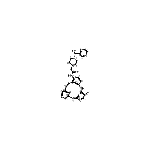 O=C(CC1CCN(C(=O)c2cnccn2)CC1)Nc1ccc2cc1CCc1cncc(c1)Nc1ncc(Cl)c(n1)N2